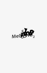 COC(=O)[C@@H]1CSc2c(C3CC3)c(Cc3cccc4ccccc34)c([N+](=O)[O-])c(=O)n21